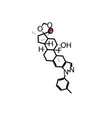 Cc1cccc(-n2ncc3c2C=C2CC[C@H]4[C@@H]5C[C@H](C)[C@@]6(OCOC67COCO7)[C@@]5(C)C[C@H](O)[C@]4(F)[C@@]2(C)C3)c1